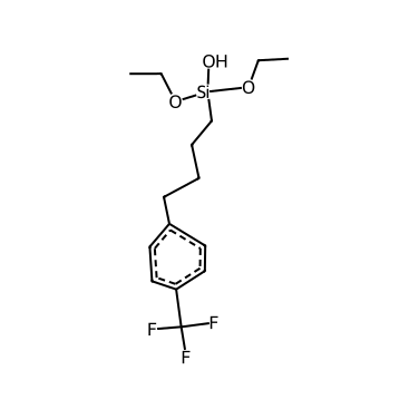 CCO[Si](O)(CCCCc1ccc(C(F)(F)F)cc1)OCC